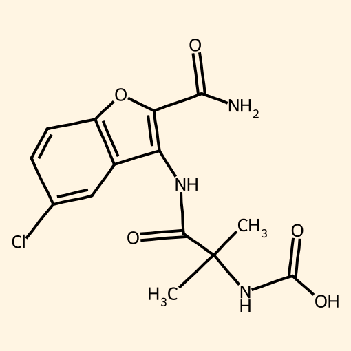 CC(C)(NC(=O)O)C(=O)Nc1c(C(N)=O)oc2ccc(Cl)cc12